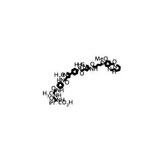 COc1cc2c(cc1OCCCC(=O)Nc1cc(C(=O)Nc3ccc(-c4cc(C(=O)Nc5ccc(NC(=O)C(C)NC(=O)C(NC(=O)O)C(C)C)cc5)n(C)c4)cc3)n(C)c1)N=C[C@@H]1CCCCN1C2=O